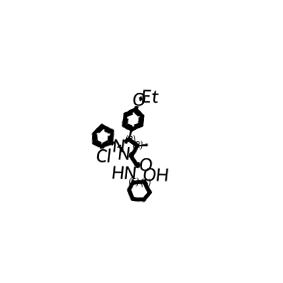 CCOc1ccc([C@H]2[C@@H](C)C(C(=O)N[C@H]3CCCC[C@@H]3O)=NN2c2ccccc2Cl)cc1